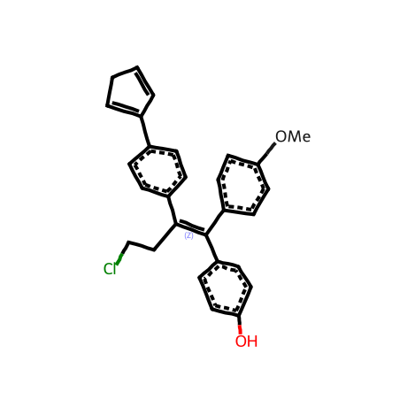 COc1ccc(/C(=C(/CCCl)c2ccc(C3=CCC=C3)cc2)c2ccc(O)cc2)cc1